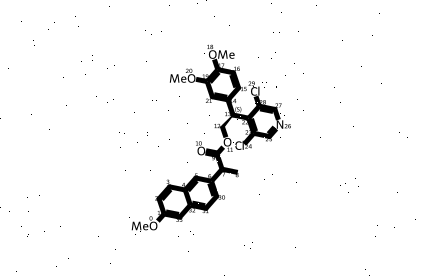 COc1ccc2cc(C(C)C(=O)OC[C@@H](c3ccc(OC)c(OC)c3)c3c(Cl)cncc3Cl)ccc2c1